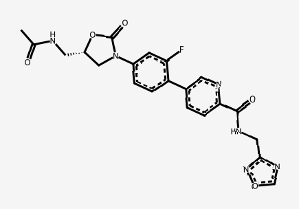 CC(=O)NC[C@H]1CN(c2ccc(-c3ccc(C(=O)NCc4ncon4)nc3)c(F)c2)C(=O)O1